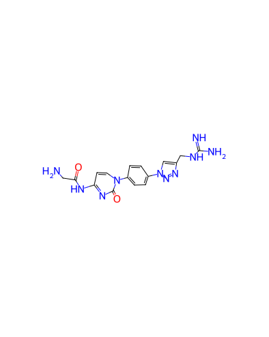 N=C(N)NCc1cn(-c2ccc(-n3ccc(NC(=O)CN)nc3=O)cc2)nn1